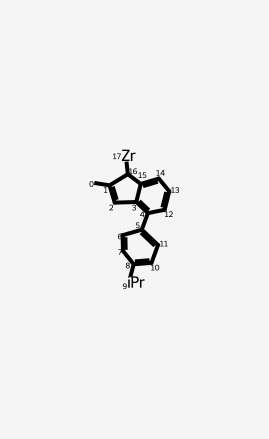 CC1=Cc2c(-c3ccc(C(C)C)cc3)cccc2[CH]1[Zr]